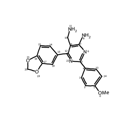 COc1ccc(-c2nc(N)c(CN)c(-c3ccc4c(c3)OCO4)n2)cc1